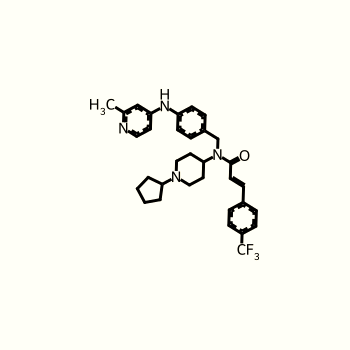 Cc1cc(Nc2ccc(CN(C(=O)C=Cc3ccc(C(F)(F)F)cc3)C3CCN(C4CCCC4)CC3)cc2)ccn1